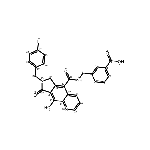 O=C(O)c1cccc(CNC(=O)c2c3c(c(O)c4ncccc24)C(=O)N(Cc2ccc(F)cc2)C3)c1